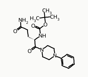 CC(C)(C)OC(=O)N[C@@H](CCC(N)=O)C(=O)N1CCN(c2ccccc2)CC1